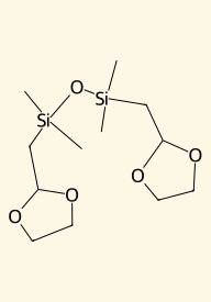 C[Si](C)(CC1OCCO1)O[Si](C)(C)CC1OCCO1